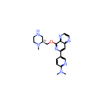 CN(C)c1ccc(-c2cc3nccnc3c(OC[C@@H]3CNCCN3C)n2)cn1